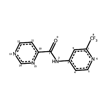 O=C(Nc1ccnc(C(F)(F)F)c1)c1ccncn1